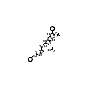 CC(=O)O.CC(C)(C)OC(=O)C(NC(=O)CC(NC(=O)CNC(=O)c1csc(NC(=O)NCc2ccccc2)n1)C(=O)O)c1ccccc1